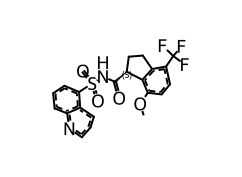 COc1ccc(C(F)(F)F)c2c1[C@@H](C(=O)NS(=O)(=O)c1cccc3ncccc13)CC2